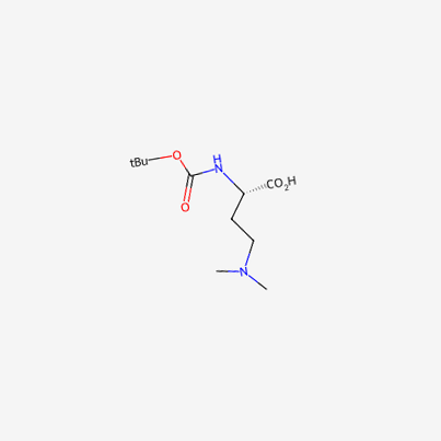 CN(C)CC[C@H](NC(=O)OC(C)(C)C)C(=O)O